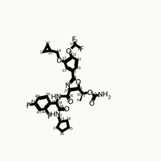 C[C@H](OC(N)=O)c1oc(-c2ccc(OC(F)F)c(OCC3CC3)c2)nc1C(=O)NC(C(=O)NC1CCCC1)c1ccc(F)cc1F